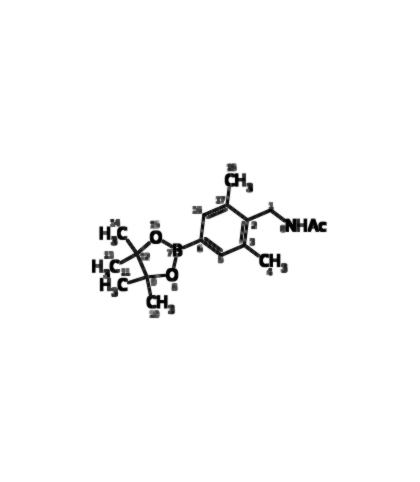 CC(=O)NCc1c(C)cc(B2OC(C)(C)C(C)(C)O2)cc1C